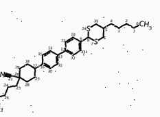 CCCCCC1CSC(c2ccc(-c3ccc(C4CCC(C#N)(CCCCC)CC4)cc3)cc2)SC1